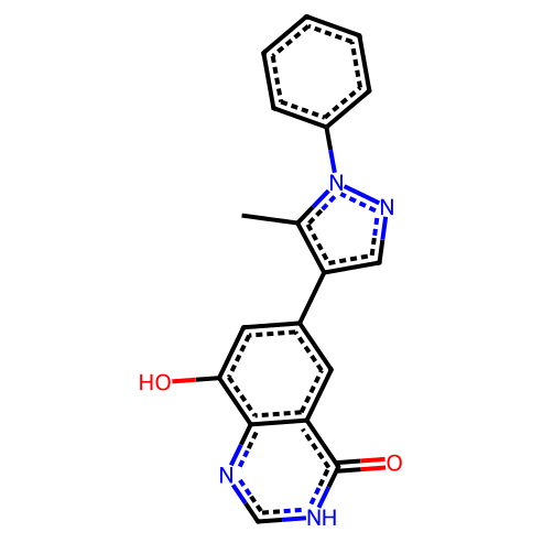 Cc1c(-c2cc(O)c3nc[nH]c(=O)c3c2)cnn1-c1ccccc1